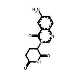 Nc1ccc2ncn(C3CCC(=O)NC3=O)c(=O)c2c1